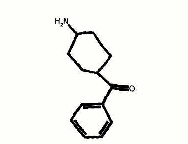 NC1CCC(C(=O)c2ccccc2)CC1